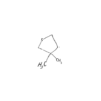 CC1(C)[CH]CSC1